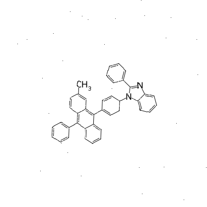 Cc1ccc2c(-c3ccccc3)c3ccccc3c(C3=CCC(n4c(-c5ccccc5)nc5ccccc54)C=C3)c2c1